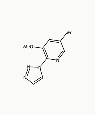 COc1cc(C(C)C)cnc1-n1ccnn1